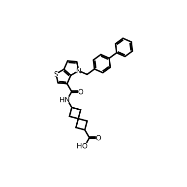 O=C(NC1CC2(C1)CC(C(=O)O)C2)c1csc2ccn(Cc3ccc(-c4ccccc4)cc3)c12